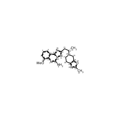 COc1cccc2c1nc(N)n1nc(C[C@H](C)N3CCc4nc(C)oc4C3)nc21